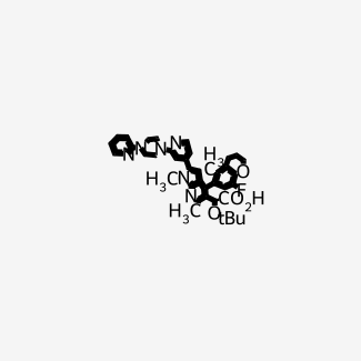 Cc1nc2c(cc(-c3ccnc(N4CCN(c5ccccn5)CC4)c3)n2C)c(-c2cc(F)c3c(c2C)CCCO3)c1[C@H](OC(C)(C)C)C(=O)O